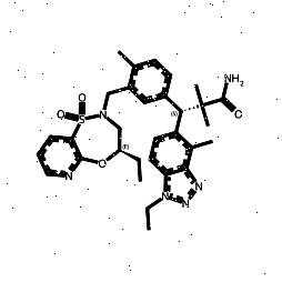 CC[C@@H]1CN(Cc2cc([C@@H](c3ccc4c(nnn4CC)c3C)C(C)(C)C(N)=O)ccc2C)S(=O)(=O)c2cccnc2O1